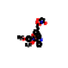 COc1ccc(N(C(=O)c2c3ccccc3nc3ccccc23)S(=O)(=O)c2ccc(CCC(=O)ON3C(=O)CCC3=O)cc2)c(OC)c1